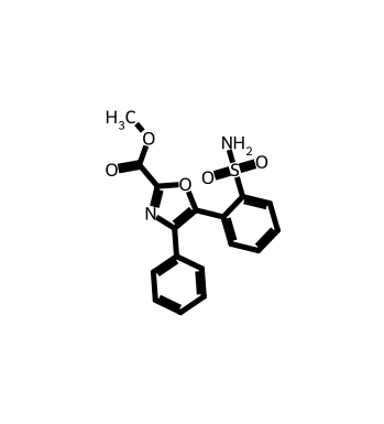 COC(=O)c1nc(-c2ccccc2)c(-c2ccccc2S(N)(=O)=O)o1